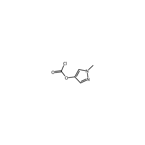 Cn1cc(OC(=O)Cl)cn1